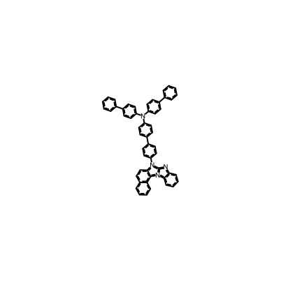 c1ccc(-c2ccc(N(c3ccc(-c4ccccc4)cc3)c3ccc(-c4ccc(-n5c6ccc7ccccc7c6n6c7ccccc7nc56)cc4)cc3)cc2)cc1